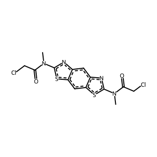 CN(C(=O)CCl)c1nc2cc3nc(N(C)C(=O)CCl)sc3cc2s1